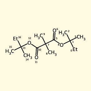 CCC(C)(C)OC(=O)C(C)(C)C(=O)OC(C)(C)CC